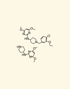 CCOc1cc(CN2CCC(Nc3nc(OC)cc(OC)n3)CC2)ccc1Cl.COc1cc(OC)nc(NC2CCNCC2)n1